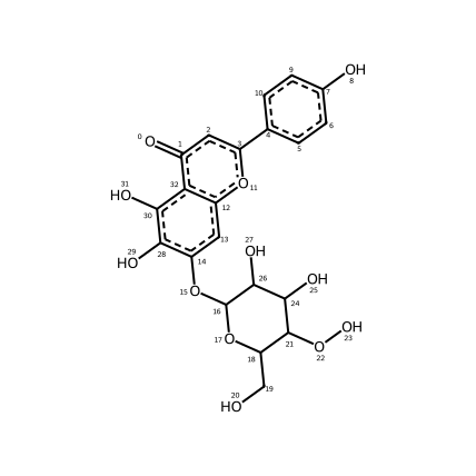 O=c1cc(-c2ccc(O)cc2)oc2cc(OC3OC(CO)C(OO)C(O)C3O)c(O)c(O)c12